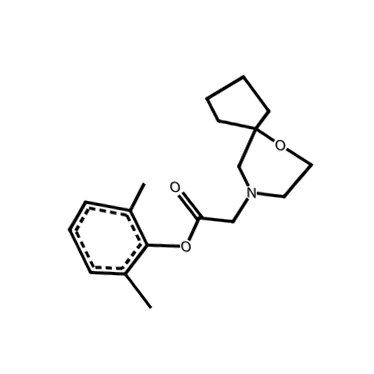 Cc1cccc(C)c1OC(=O)CN1CCOC2(CCCC2)C1